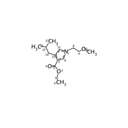 CCOC(=O)c1cn(CCOC)cc1CC(C)C